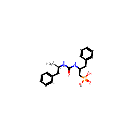 O=C(NC(Cc1ccccc1)CP(=O)(O)O)N[C@@H](Cc1ccccc1)C(=O)O